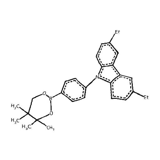 CCc1ccc2c(c1)c1cc(CC)ccc1n2-c1ccc(B2OCC(C)(C)C(C)(C)O2)cc1